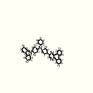 c1ccc(N(c2ccc(-c3cnc4c5ccccc5c5ccccc5c4n3)cc2)c2ccc(-n3c4ccccc4c4ccccc43)cc2)cc1